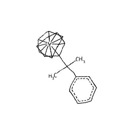 CC(C)(c1ccccc1)[C]12[CH]3[CH]4[CH]5[CH]1[V]45321678[CH]2[CH]1[CH]6[CH]7[CH]28